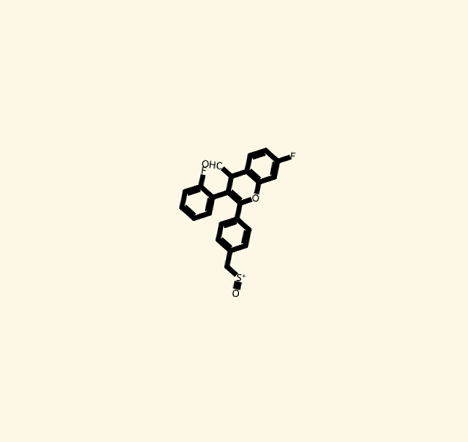 O=CC1C(c2ccccc2F)=C(c2ccc(C[S+]=O)cc2)Oc2cc(F)ccc21